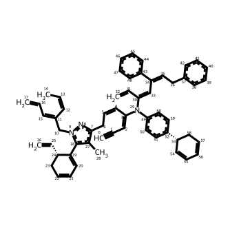 C#C/C=C(\C=C/Cc1nn(CC(/C=C\C)=C/C=C)c(C2=CC=CC[C@@H]2C=C)c1C)N(/C(C=C)=C/C(=C\Cc1ccccc1)c1ccccc1)c1ccc([C@H]2C=CC=CC2)cc1